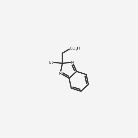 CCC1(CC(=O)O)N=c2ccccc2=N1